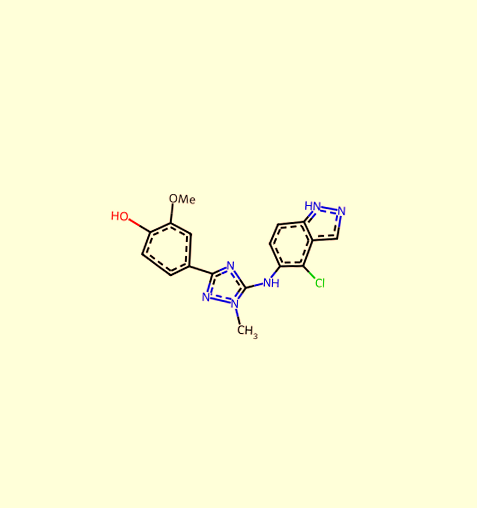 COc1cc(-c2nc(Nc3ccc4[nH]ncc4c3Cl)n(C)n2)ccc1O